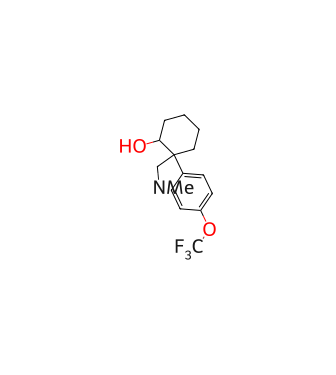 CNCC1(c2ccc(OC(F)(F)F)cc2)CCCCC1O